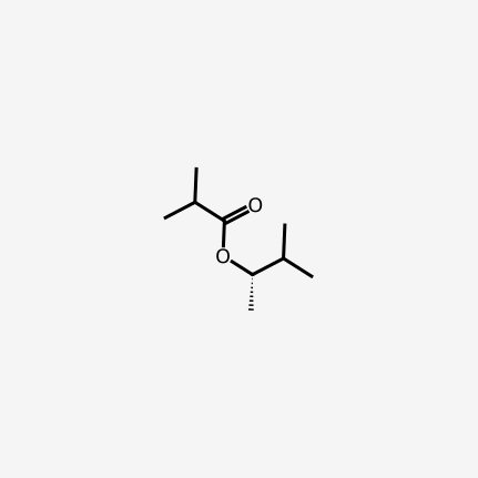 CC(C)C(=O)O[C@@H](C)C(C)C